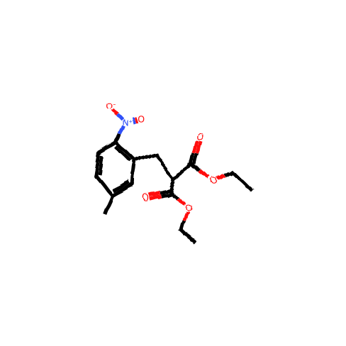 CCOC(=O)C(Cc1cc(C)ccc1[N+](=O)[O-])C(=O)OCC